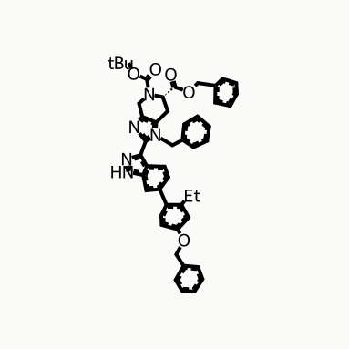 CCc1cc(OCc2ccccc2)ccc1-c1ccc2c(-c3nc4c(n3Cc3ccccc3)C[C@@H](C(=O)OCc3ccccc3)N(C(=O)OC(C)(C)C)C4)n[nH]c2c1